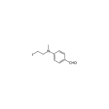 CN(CCI)c1ccc(C=O)cc1